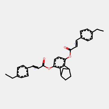 CCc1ccc(/C=C/C(=O)Oc2ccc(OC(=O)/C=C/c3ccc(CC)cc3)c3c2C2CCC3C2)cc1